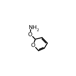 NO[C]1C=CC=CO1